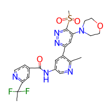 Cc1ncc(NC(=O)c2ccnc(C(C)(F)F)c2)cc1-c1cc(N2CCOCC2)c(S(C)(=O)=O)nn1